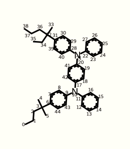 CCCC(C)(C)c1ccc(N(c2ccccc2)c2ccc(N(c3ccccc3)c3ccc(C(C)(CC)CCC)cc3)cc2)cc1